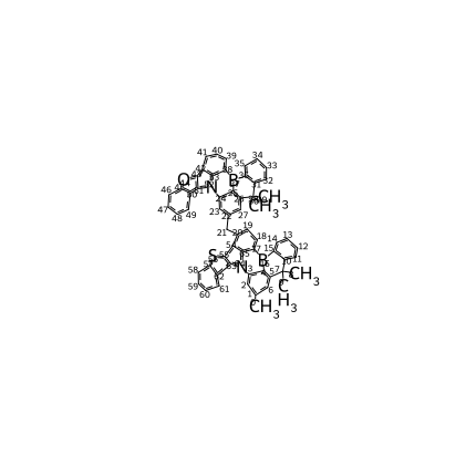 Cc1cc2c3c(c1)C(C)(C)c1ccccc1B3c1ccc(Cc3cc4c5c(c3)C(C)(C)c3ccccc3B5c3cccc5c6oc7ccccc7c6n-4c35)c3c4sc5ccccc5c4n-2c13